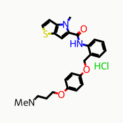 CNCCCOc1ccc(OCc2ccccc2NC(=O)c2cc3sccc3n2C)cc1.Cl